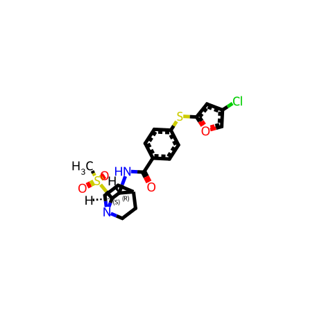 CS(=O)(=O)[C@H]1[C@H](NC(=O)c2ccc(Sc3cc(Cl)co3)cc2)C2CCN1CC2